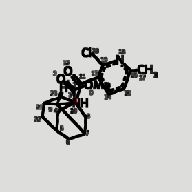 COC(=O)[C@]12CC3CC(C1)[C@@H](NC(=O)c1ccc(C)nc1Cl)C(C3)C2